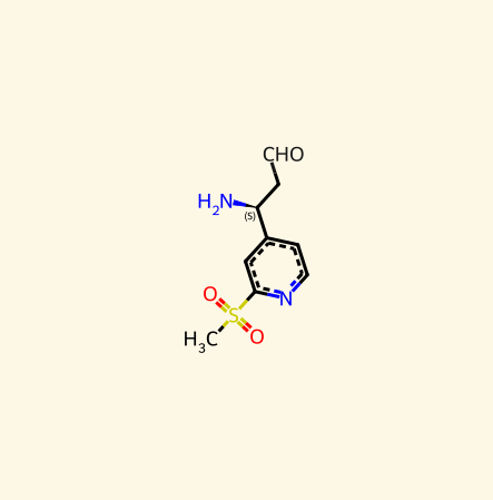 CS(=O)(=O)c1cc([C@@H](N)CC=O)ccn1